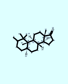 CC1CC[C@@H]2CC[C@@H]3[C@H](CC[C@]4(C)C(=O)CC[C@@H]34)[C@@]2(C)C1(C)C